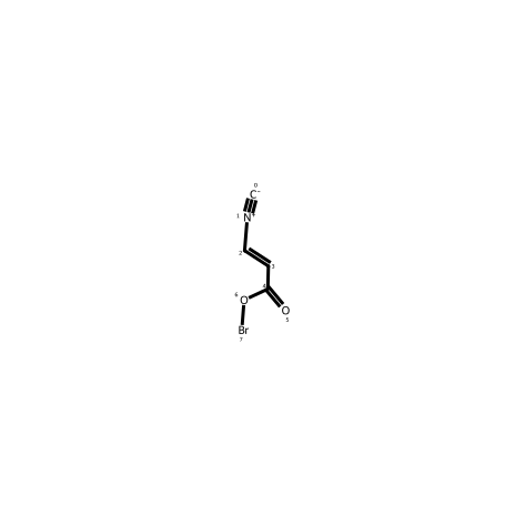 [C-]#[N+]C=CC(=O)OBr